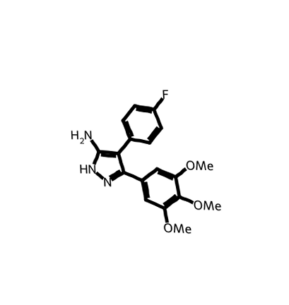 COc1cc(-c2n[nH]c(N)c2-c2ccc(F)cc2)cc(OC)c1OC